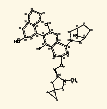 CN1CC2(CC2)C[C@H]1COc1nc(N2CC3CCC(C2)N3)c2cc(Cl)c(-c3cc(O)cc4ccccc34)c(F)c2n1